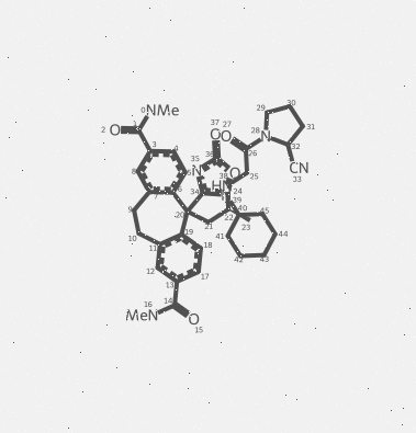 CNC(=O)c1ccc2c(c1)CCc1cc(C(=O)NC)ccc1C2(C[C@H](C)NCC(=O)N1CCCC1C#N)c1nc(=O)on1C1CCCCC1